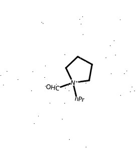 CCC[N+]1([C]=O)CCCC1